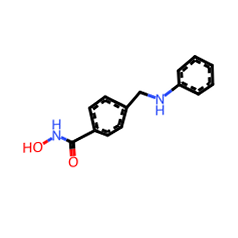 O=C(NO)c1ccc(CNc2ccccc2)cc1